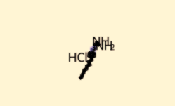 CCCCCCCCCCc1ccc(/C=C/CC(=N)N)cc1.Cl